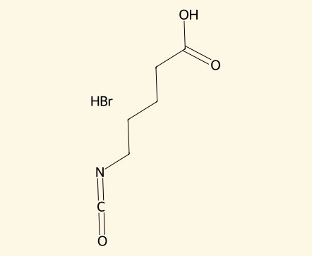 Br.O=C=NCCCCC(=O)O